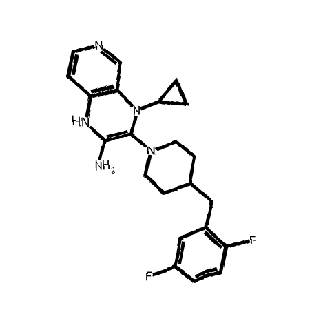 NC1=C(N2CCC(Cc3cc(F)ccc3F)CC2)N(C2CC2)c2cnccc2N1